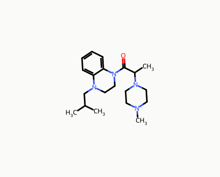 CC(C)CN1CCN(C(=O)C(C)N2CCN(C)CC2)c2ccccc21